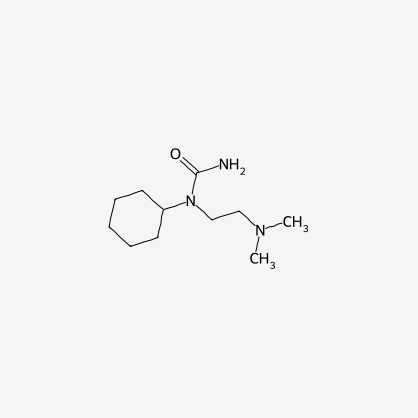 CN(C)CCN(C(N)=O)C1CCCCC1